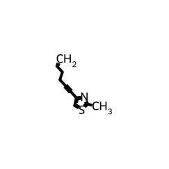 C=CCCC#Cc1csc(C)n1